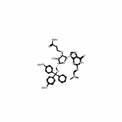 CNC(=O)CCO[C@@H]1[C@H](O)[C@@H](COC(c2ccccc2)(c2ccc(OC)cc2)c2ccc(OC)cc2)O[C@H]1n1cnc2c(=O)[nH]c(N=CN(C)C)nc21